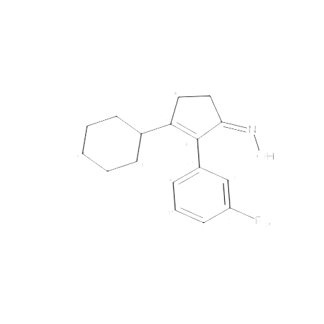 ON=C1CCC(C2CCCCC2)=C1c1cccc(F)c1